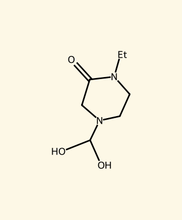 CCN1CCN(C(O)O)CC1=O